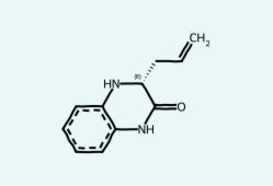 C=CC[C@H]1Nc2ccccc2NC1=O